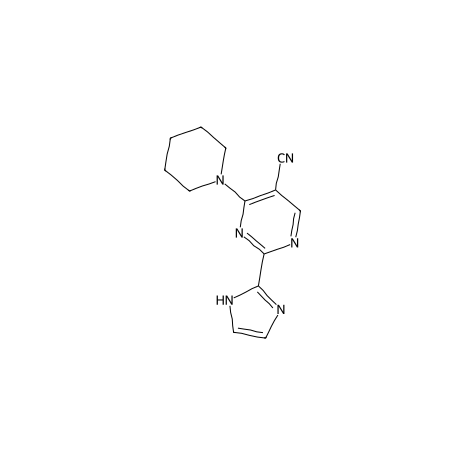 N#Cc1cnc(-c2ncc[nH]2)nc1N1CCCCC1